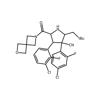 CC(C)(C)CC1NC(C(=O)N2CC3(COC3)C2)C(c2cccc(Cl)c2F)C1(C#N)c1ccc(Cl)cc1F